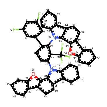 Fc1cc(F)cc(-c2ccc(-n3c4ccccc4c4ccc5c6ccccc6oc5c43)c(C(F)(F)F)c2-n2c3ccccc3c3ccc4c5ccccc5oc4c32)c1